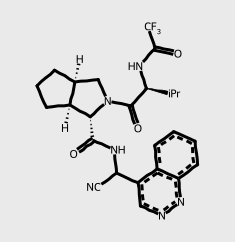 CC(C)[C@H](NC(=O)C(F)(F)F)C(=O)N1C[C@@H]2CCC[C@@H]2[C@H]1C(=O)NC(C#N)c1cnnc2ccccc12